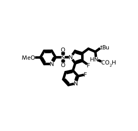 COc1ccc(S(=O)(=O)n2cc(CC(NC(=O)O)C(C)(C)C)c(F)c2-c2cccnc2F)nc1